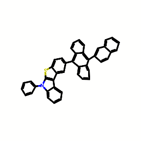 c1ccc(-n2c3ccccc3c3c4cc(-c5c6ccccc6c(-c6ccc7ccccc7c6)c6ccccc56)ccc4sc32)cc1